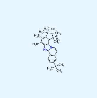 Bc1c2c(c3c(nc4c5ccc(C(C)(C)C)cc5ccn43)c1B)C(C)(C)C(C)(C)C2(C)C